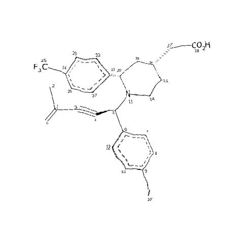 C=C(C)C#C[C@H](c1ccc(I)cc1)N1CC[C@@H](CC(=O)O)C[C@H]1c1ccc(C(F)(F)F)cc1